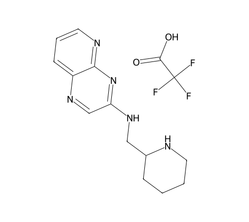 O=C(O)C(F)(F)F.c1cnc2nc(NCC3CCCCN3)cnc2c1